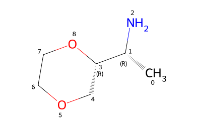 C[C@@H](N)[C@@H]1COCCO1